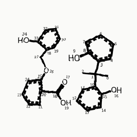 CC(C)(c1ccccc1O)c1ccccc1O.O=C(O)c1ccccc1OCc1ccccc1O